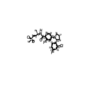 C[C@H](/C=C/S(C)(=O)=O)NC(=O)c1ncc(N2CCC[C@H]2c2ccc(F)cc2Cl)cc1F